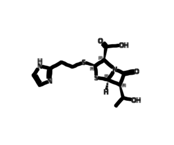 CC(O)[C@@H]1C(=O)N2[C@@H]1S[C@@H](SCCc1ncc[nH]1)[C@H]2C(=O)O